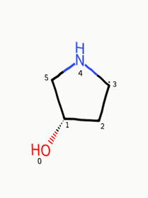 O[C@H]1C[CH]NC1